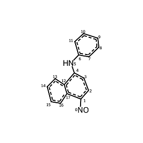 O=Nc1ccc(Nc2ccccc2)c2ccccc12